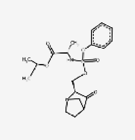 CC(C)OC(=O)[C@H](C)NP(=O)(OC[C@H]1C(=O)C2CCN1C2)Oc1ccccc1